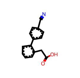 N#Cc1ccc(-c2ccccc2CC(=O)O)cc1